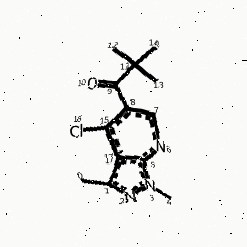 Cc1nn(C)c2ncc(C(=O)C(C)(C)C)c(Cl)c12